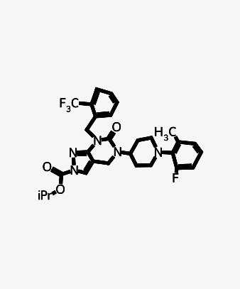 Cc1cccc(F)c1N1CCC(N2Cc3cn(C(=O)OC(C)C)nc3N(Cc3ccccc3C(F)(F)F)C2=O)CC1